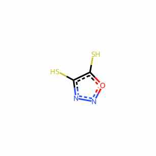 Sc1nnoc1S